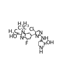 CC(C)n1c([C@@H](C)O)nc2c(F)cc(-c3nc(N[C@@H]4CCNC[C@H]4O)ncc3Cl)cc21